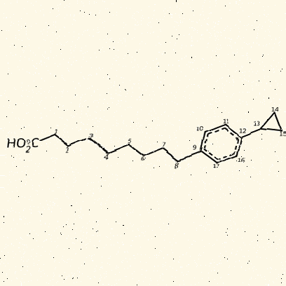 O=C(O)CCCCCCCCc1ccc(C2CC2)cc1